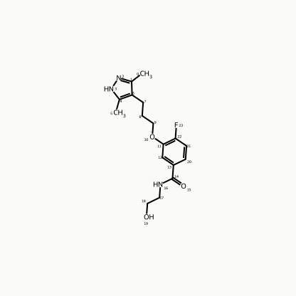 Cc1n[nH]c(C)c1CCCOc1cc(C(=O)NCCO)ccc1F